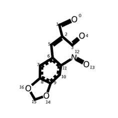 O=CC(C=O)=Cc1cc2c(cc1N=O)OCO2